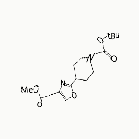 COC(=O)c1coc(C2CCN(C(=O)OC(C)(C)C)CC2)n1